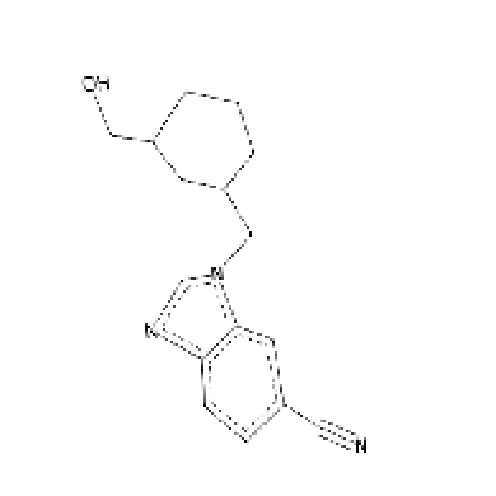 N#Cc1ccc2ncn(CC3CCCC(CO)C3)c2c1